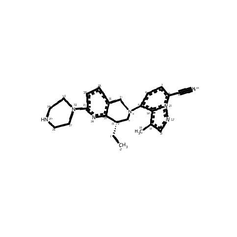 CC[C@H]1CN(c2ccc(C#N)n3ncc(C)c23)Cc2ccc(N3CCNCC3)nc21